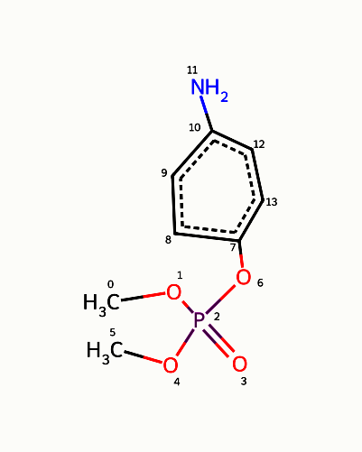 COP(=O)(OC)Oc1ccc(N)cc1